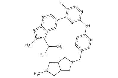 CC(C)c1c2cc(-c3nc(Nc4ccc(CN5CC6CN(C)CC6C5)cn4)ncc3F)cnc2nn1C